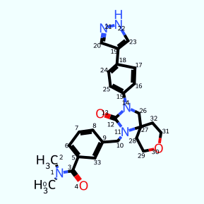 CN(C)C(=O)c1cccc(CN2C(=O)N(c3ccc(-c4cn[nH]c4)cc3)CC23CCOCC3)c1